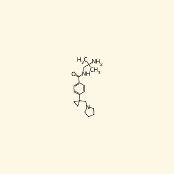 CC(C)(N)CNC(=O)c1ccc(C2(CN3CCCC3)CC2)cc1